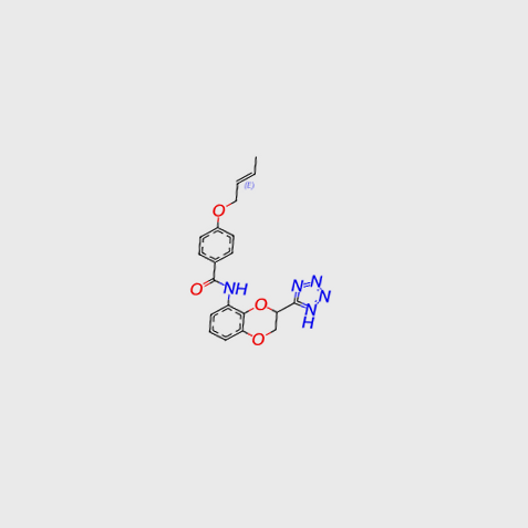 C/C=C/COc1ccc(C(=O)Nc2cccc3c2OC(c2nnn[nH]2)CO3)cc1